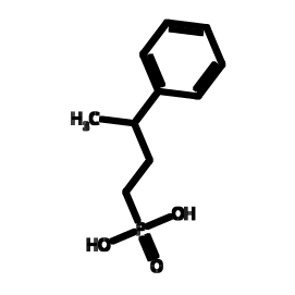 CC(CCP(=O)(O)O)c1ccccc1